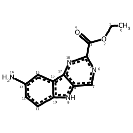 CCOC(=O)c1ncc2[nH]c3ccc(N)cc3c2n1